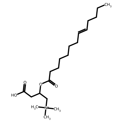 CCCC/C=C/CCCCCCC(=O)OC(CC(=O)O)C[N+](C)(C)C